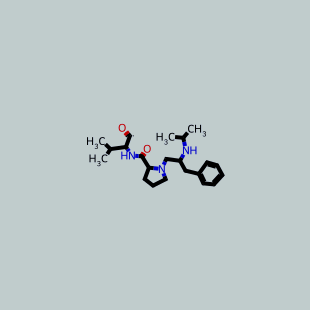 CC(C)NC(Cc1ccccc1)CN1CCCC1C(=O)NC([C]=O)C(C)C